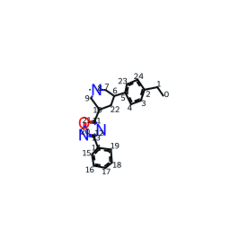 CCc1ccc(C2C[N]CC(c3nc(-c4ccccc4)no3)C2)cc1